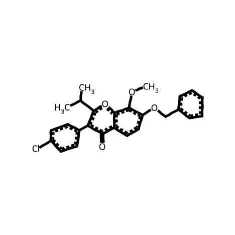 COc1c(OCc2ccccc2)ccc2c(=O)c(-c3ccc(Cl)cc3)c(C(C)C)oc12